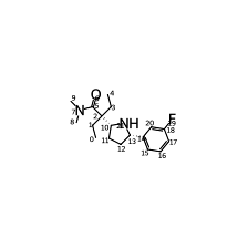 CCC(CC)(C(=O)N(C)C)[C@H]1CC[C@@H](c2cccc(F)c2)N1